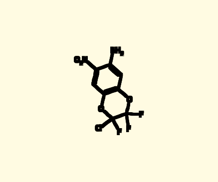 Nc1cc2c(cc1[N+](=O)[O-])OC(F)(Cl)C(F)(F)O2